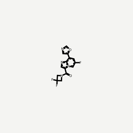 O=C(c1cnc2c(-c3cnco3)cc(F)cn12)N1CC(F)(F)C1